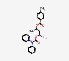 Cc1ccc(C(=O)OC(C)CC(C)OC(=O)N(c2ccccc2)c2ccccc2)cc1